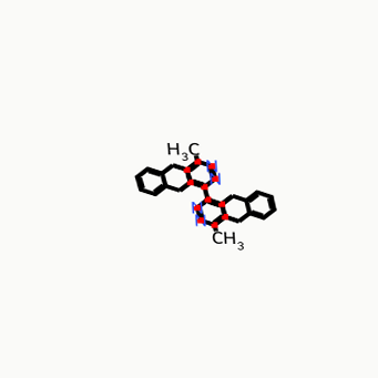 Cc1nnc(-c2nnc(C)c3c2C2c4ccccc4C3c3ccccc32)c2c1C1c3ccccc3C2c2ccccc21